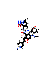 CCN(c1cc2oc(C3CCN(C)CC3)cc2c(C(=O)NCc2c(C)cc(C)[nH]c2=O)c1C)C1CCOCC1